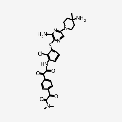 CN(C)C(=O)C(=O)c1ccc(C(=O)C(=O)Nc2cccc(Sc3ncc(N4CCC(C)(N)CC4)nc3N)c2Cl)cc1